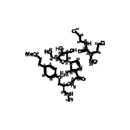 COCCc1ccc(OCC(O)CNC(C)C)cc1.NC(=O)c1ncn([C@@H]2O[C@H](CO)[C@@H](O)[C@H]2O)c1N.O=NN(CCCl)C(=O)NCCCl